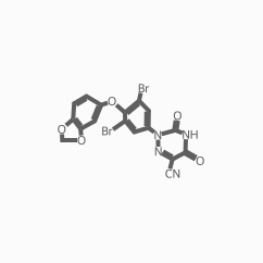 N#Cc1nn(-c2cc(Br)c(Oc3ccc4c(c3)OCO4)c(Br)c2)c(=O)[nH]c1=O